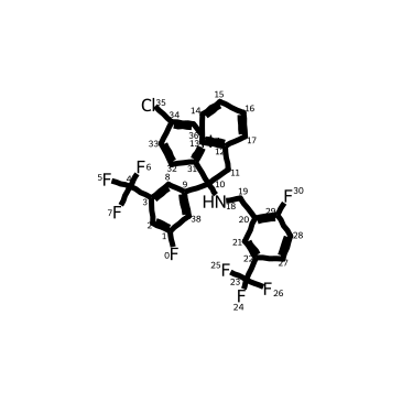 Fc1cc(C(F)(F)F)cc(C(Cc2ccccc2)(NCc2cc(C(F)(F)F)ccc2F)c2ccc(Cl)cn2)c1